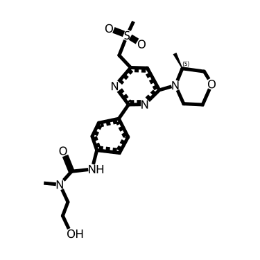 C[C@H]1COCCN1c1cc(CS(C)(=O)=O)nc(-c2ccc(NC(=O)N(C)CCO)cc2)n1